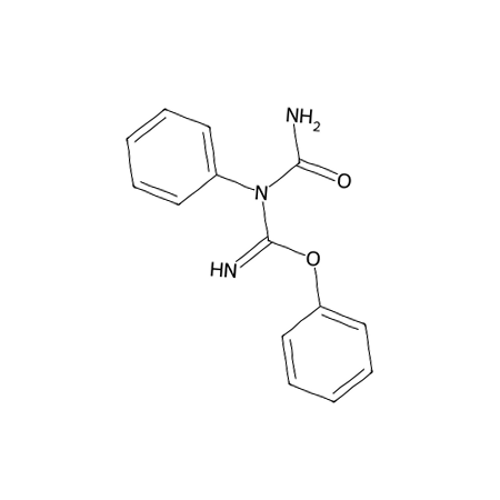 N=C(Oc1ccccc1)N(C(N)=O)c1ccccc1